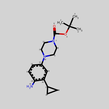 CC(C)(C)OC(=O)N1CCN(c2ccc(N)c(C3CC3)c2)CC1